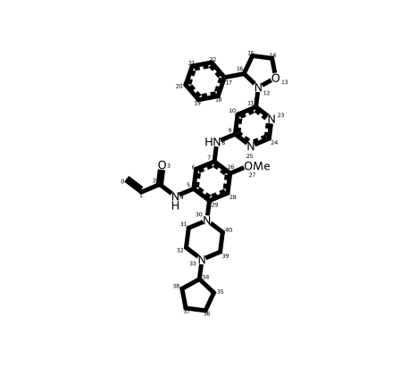 C=CC(=O)Nc1cc(Nc2cc(N3OCCC3c3ccccc3)ncn2)c(OC)cc1N1CCN(C2CCCC2)CC1